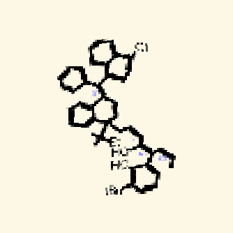 C\C=C/C(=C(O)\C=C/CC1(C(C)(C)CC)C=C/C(=C(/c2ccccc2)c2ccc(O)c3ccccc23)c2ccccc21)c1cccc(C(C)(C)C)c1O